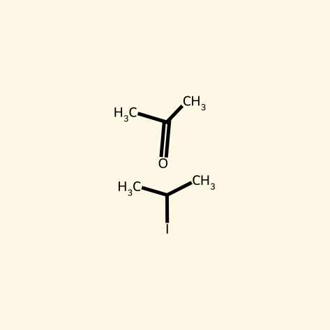 CC(C)=O.CC(C)I